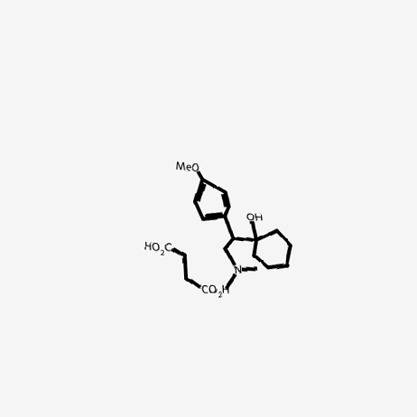 COc1ccc(C(CN(C)C)C2(O)CCCCC2)cc1.O=C(O)CCC(=O)O